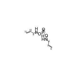 C=CCNO[PH](=O)ONCC=C